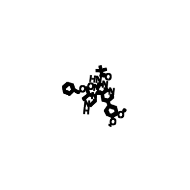 COc1ccc(-c2cnc3nc(NC(=O)C(C)(C)C)nc(N4CCNCC4C(=O)OCc4ccccc4)c3c2)cc1OC